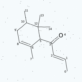 C/C=C/C(=O)C1C(C)=CCC(C)C1(C)C